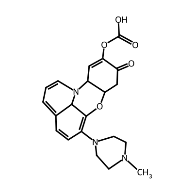 CN1CCN(C2=C3OC4CC(=O)C(OC(=O)O)=CC4N4C=CC=C(C=C2)C34)CC1